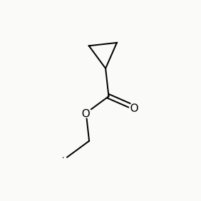 [CH2]COC(=O)C1CC1